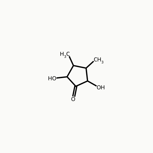 CC1C(O)C(=O)C(O)C1C